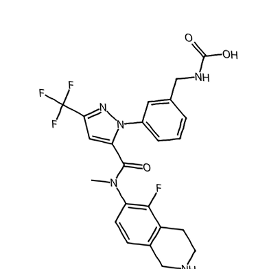 CN(C(=O)c1cc(C(F)(F)F)nn1-c1cccc(CNC(=O)O)c1)c1ccc2c(c1F)CCNC2